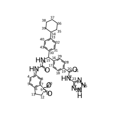 O=C(Nc1ccc2c(c1)S(=O)(=O)CC2)NC(c1ccc(C(=O)Nc2nn[nH]n2)cc1)c1ccc(C2CCCCC2)cc1